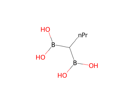 CCCC(B(O)O)B(O)O